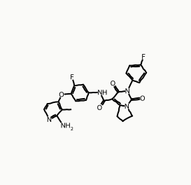 Cc1c(Oc2ccc(NC(=O)c3c4n(c(=O)n(-c5ccc(F)cc5)c3=O)CCC4)cc2F)ccnc1N